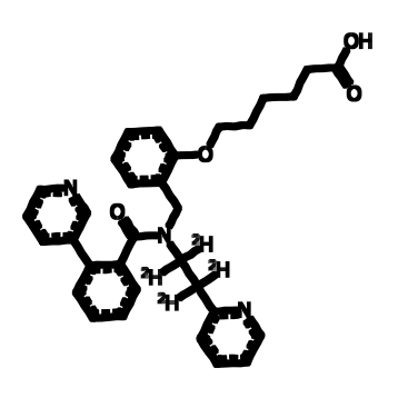 [2H]C([2H])(c1ccccn1)C([2H])([2H])N(Cc1ccccc1OCCCCCC(=O)O)C(=O)c1ccccc1-c1cccnc1